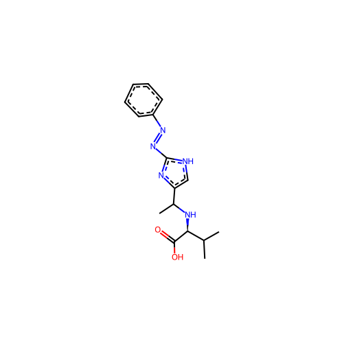 CC(N[C@H](C(=O)O)C(C)C)c1c[nH]c(/N=N/c2ccccc2)n1